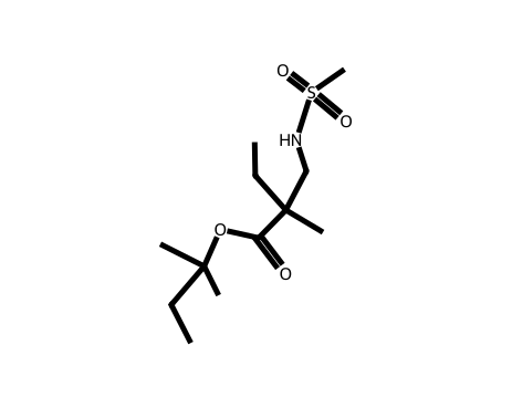 CCC(C)(C)OC(=O)C(C)(CC)CNS(C)(=O)=O